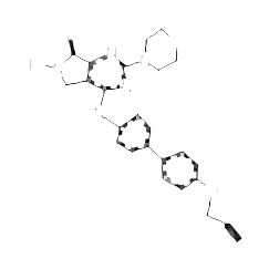 C#CCOc1ccc(-c2ccc(Nc3nc(N4CCOCC4)nc4c3CN(C(C)C)C4=O)cc2)cc1